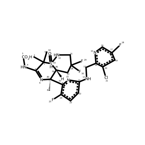 CC1(C)C(NC(=O)O)=N[C@](C)(c2nc(NCc3ncc(F)cc3Cl)ccc2F)[C@H]2CC(F)(F)CN[SH]21=O